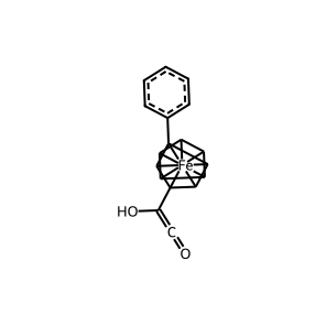 O=C=C(O)[C]12[CH]3[CH]4[C]5(c6ccccc6)[CH]1[Fe]34251678[CH]2[CH]1[CH]6[CH]7[CH]28